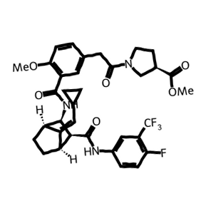 COC(=O)[C@@H]1CCN(C(=O)Cc2ccc(OC)c(C(=O)N[C@H]3[C@@H](C(=O)Nc4ccc(F)c(C(F)(F)F)c4)[C@H]4CC[C@@H]3/C4=C\C3CC3)c2)C1